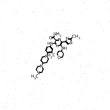 Cc1nc(-c2nc(C(N)=O)c(Nc3ccc(N4CCC(N5CCN(C)CC5)CC4)c(C)c3)nc2NC2CCOCC2)cs1